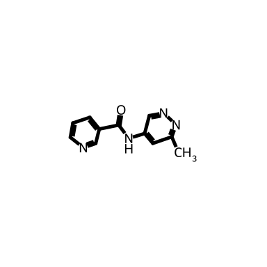 Cc1cc(NC(=O)c2cccnc2)cnn1